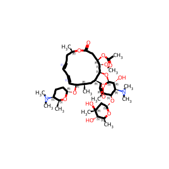 CO[C@@H]1[C@@H](O[C@@H]2O[C@H](C)[C@@H](O[C@H]3C[C@@](C)(O)[C@@H](O)[C@H](C)O3)[C@H](N(C)C)[C@H]2O)[C@@H](CC=O)C[C@@H](C)[C@@H](O[C@H]2CC[C@H](N(C)C)[C@H](C)O2)/C=C/C=C/C[C@@H](C)OC(=O)C[C@H]1OC(C)=O